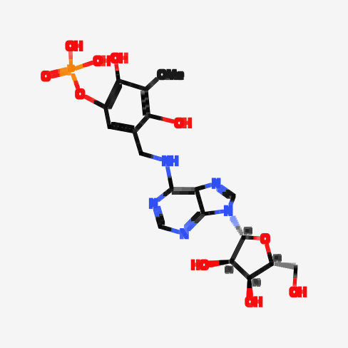 COc1c(O)c(CNc2ncnc3c2ncn3[C@@H]2O[C@H](CO)[C@@H](O)[C@H]2O)cc(OP(=O)(O)O)c1O